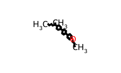 CCCCCC(C)C1CC=C(c2ccc(-c3ccc(OCCCC)cc3)cc2)CC1